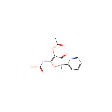 CC(=O)OC1=C(NC(=O)O)OC(C)(c2ccccn2)C1=O